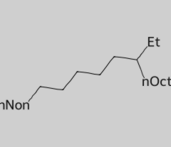 [CH2]CCCCCCCCCCCCCC(CC)CCCCCCC[CH2]